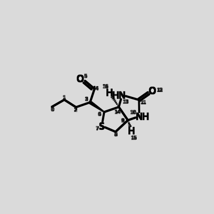 CCCC([C]=O)[C@@H]1SC[C@@H]2NC(=O)N[C@@H]21